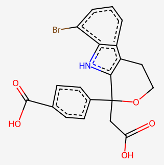 O=C(O)CC1(c2ccc(C(=O)O)cc2)OCCc2c1[nH]c1c(Br)cccc21